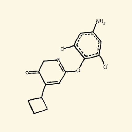 Nc1cc(Cl)c(OC2=NCC(=O)C(C3CCC3)=C2)c(Cl)c1